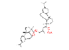 CC(COC(=O)C1(C)CCCC2(C)C3CC=C(C(C)C)C=C3CCC12)CC(OO)C1(C)CCCC2(C)C3CC=C(C(C)C)C=C3CCC12